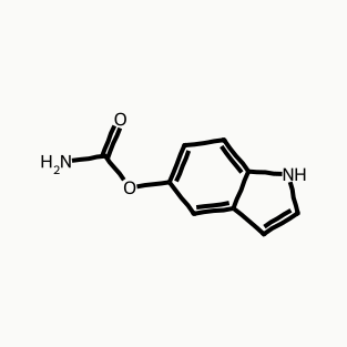 NC(=O)Oc1ccc2[nH]ccc2c1